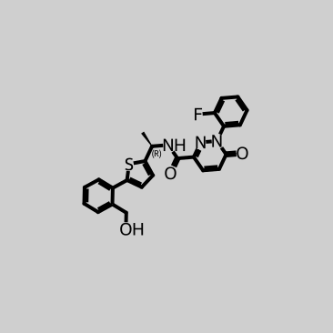 C[C@@H](NC(=O)c1ccc(=O)n(-c2ccccc2F)n1)c1ccc(-c2ccccc2CO)s1